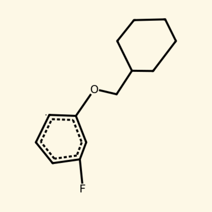 Fc1cc[c]c(OCC2CCCCC2)c1